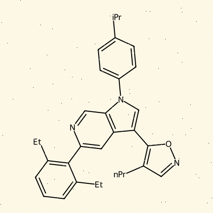 CCCc1cnoc1-c1cn(-c2ccc(C(C)C)cc2)c2cnc(-c3c(CC)cccc3CC)cc12